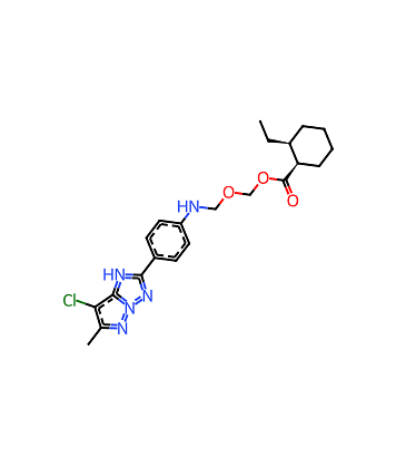 CC[C@H]1CCCC[C@H]1C(=O)OCOCNc1ccc(-c2nn3nc(C)c(Cl)c3[nH]2)cc1